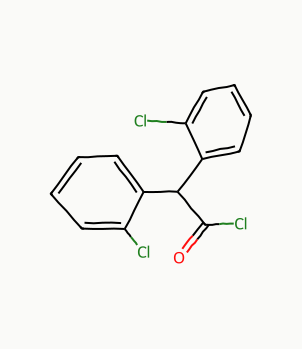 O=C(Cl)C(c1ccccc1Cl)c1ccccc1Cl